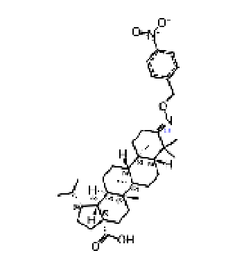 CC(C)[C@H]1CC[C@]2(C(=O)O)CC[C@]3(C)[C@H](CC[C@@H]4[C@@]5(C)CC/C(=N\OCc6ccc([N+](=O)[O-])cc6)C(C)(C)[C@@H]5CC[C@]43C)[C@@H]12